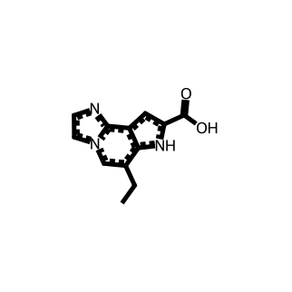 CCc1cn2ccnc2c2cc(C(=O)O)[nH]c12